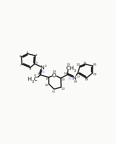 C/C(=N\c1ccccc1)C1CCCC(/C(C)=N/c2ccccc2)O1